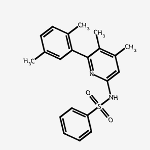 Cc1ccc(C)c(-c2nc(NS(=O)(=O)c3ccccc3)cc(C)c2C)c1